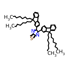 CCCCCCCCC1(CCCCCCCC)c2ccccc2-c2ccc(-c3nc4cscc4nc3-c3ccc4c(c3)C(CCCCCCCC)(CCCCCCCC)c3ccccc3-4)cc21